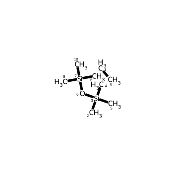 CC.C[Si](C)(C)O[Si](C)(C)C